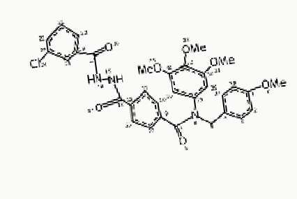 COc1ccc(CN(C(=O)c2ccc(C(=O)NNC(=O)c3cccc(Cl)c3)cc2)c2cc(OC)c(OC)c(OC)c2)cc1